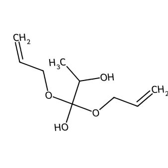 C=CCOC(O)(OCC=C)C(C)O